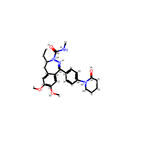 CCC1Cc2cc(OC)c(OC)cc2C(c2ccc(N3CCCCC3=O)cc2)=NN1C(=O)NC